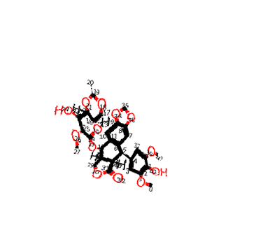 COc1cc([C@@H]2c3cc4c(cc3[C@@H](OC3O[C@@H]5CO[C@@H](C)O[C@H]5[C@H](O)[C@H]3OC)[C@H]3COC(=O)[C@H]23)OCO4)cc(OC)c1O